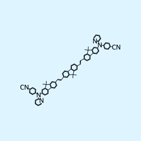 [C-]#[N+]c1ccc(N(c2ccc3c(c2)C(C)(C)c2cc(/C=C/c4ccc5c(c4)C(C)(C)c4cc(/C=C/c6ccc7c(c6)C(C)(C)c6cc(N(c8ccc(C#N)cc8)c8ccccn8)ccc6-7)ccc4-5)ccc2-3)c2ccccn2)cc1